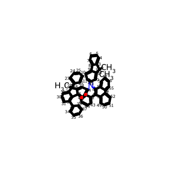 CC1(C)c2ccccc2-c2ccc(N(c3ccc4c(c3)C(C)(c3ccccc3)c3cccc(-c5ccccc5)c3-4)c3c(-c4ccccc4)c4ccccc4c4ccccc34)cc21